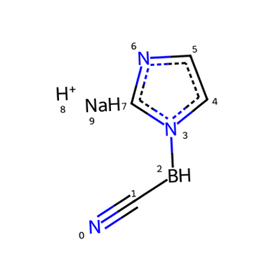 N#CBn1ccnc1.[H+].[NaH]